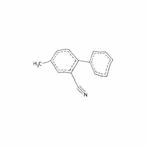 Cc1ccc(-c2ccccc2)c(C#N)c1